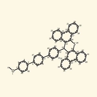 COc1ccc(-c2ccc(-c3ccc(C4c5c(c6ccccc6c6ccccc56)Sc5c4c4ccccc4c4ccccc54)cc3)cc2)cc1